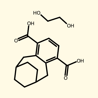 O=C(O)c1ccc(C(=O)O)c2c1CC1CCC(CC1)C2.OCCO